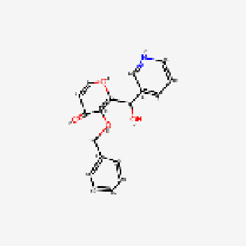 O=c1ccoc(C(O)c2cccnc2)c1OCc1ccccc1